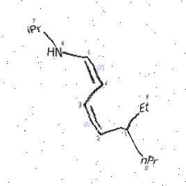 CCCC(/C=C\C=C/NC(C)C)CC